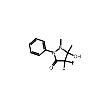 CN1N(c2ccccc2)C(=O)C(F)(F)C1(C)O